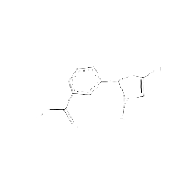 COC(=O)c1cccc(C2SC(C)=CN2Br)c1